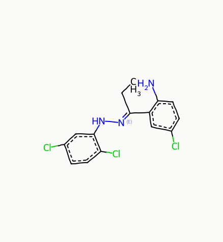 CC/C(=N\Nc1cc(Cl)ccc1Cl)c1cc(Cl)ccc1N